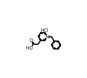 Cl.O=C(O)Cc1ccc[n+](Cc2ccccc2)c1